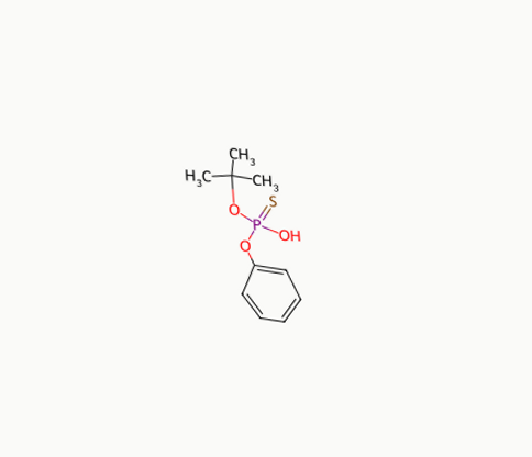 CC(C)(C)OP(O)(=S)Oc1ccccc1